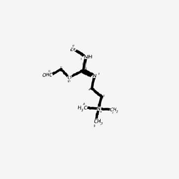 CCN/C(=N/CC[N+](C)(C)C)OCC=O